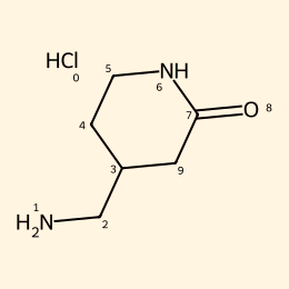 Cl.NCC1CCNC(=O)C1